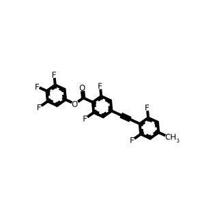 Cc1cc(F)c(C#Cc2cc(F)c(C(=O)Oc3cc(F)c(F)c(F)c3)c(F)c2)c(F)c1